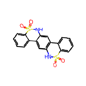 O=S1(=O)Nc2cc3c(cc2-c2ccccc21)NS(=O)(=O)c1ccccc1-3